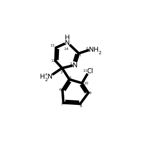 NC1=NC(N)(c2ccccc2Cl)C=CN1